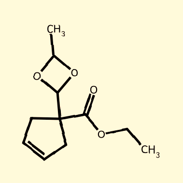 CCOC(=O)C1(C2OC(C)O2)CC=CC1